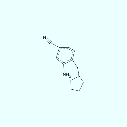 N#Cc1ccc(CN2CCCC2)c(N)c1